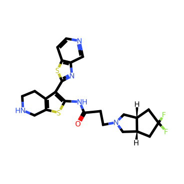 O=C(CCN1C[C@@H]2CC(F)(F)C[C@@H]2C1)Nc1sc2c(c1-c1nc3cnccc3s1)CCNC2